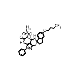 CS(=O)(=O)CC(=O)Nc1c2c(nn1-c1ccccc1)C[C@]1(CCc3cc(OCCCC(F)(F)F)ccc31)NC2=O